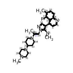 C=Nc1c(-c2ccnc3ccc(C)c(F)c23)cnn1/C=C(\C)N1CCC(N2CCN(C)CC2)CC1